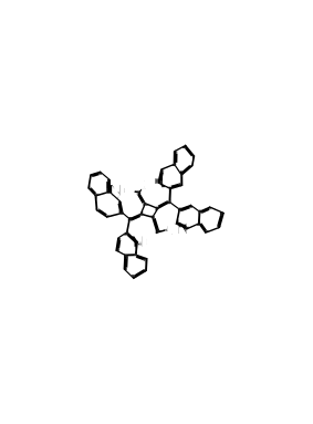 N#CC(C#N)=C1C(=C(c2ccc3ccccc3c2)c2ccc3ccccc3c2)C(=C(C#N)C#N)C1=C(c1ccc2ccccc2c1)c1ccc2ccccc2c1